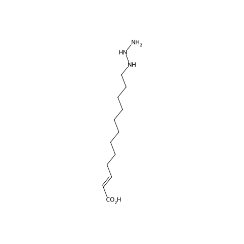 NNNCCCCCCCCCC=CC(=O)O